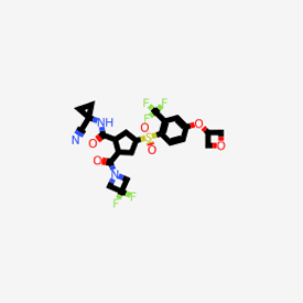 N#CC1(NC(=O)C2CC(S(=O)(=O)c3ccc(OC4COC4)cc3C(F)(F)F)CC2C(=O)N2CC(F)(F)C2)CC1